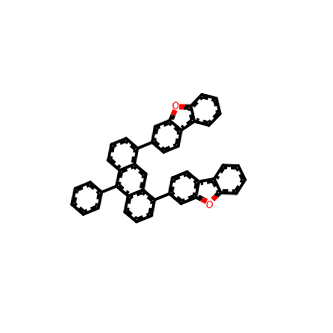 c1ccc(-c2c3cccc(-c4ccc5c(c4)oc4ccccc45)c3cc3c(-c4ccc5c(c4)oc4ccccc45)cccc23)cc1